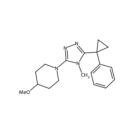 COC1CCN(c2nnc(C3(c4ccccc4)CC3)n2C)CC1